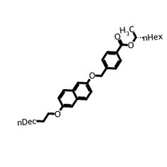 CCCCCCCCCCCCOc1ccc2cc(OCc3ccc(C(=O)O[C@H](C)CCCCCC)cc3)ccc2c1